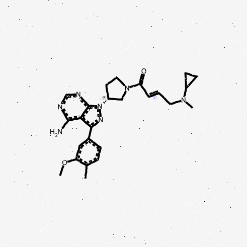 COc1cc(-c2nn([C@@H]3CCN(C(=O)/C=C/CN(C)C4CC4)C3)c3ncnc(N)c23)ccc1C